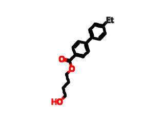 CCc1ccc(-c2ccc(C(=O)OCCCCO)cc2)cc1